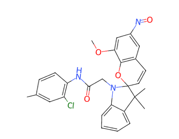 COc1cc(N=O)cc2c1OC1(C=C2)N(CC(=O)Nc2ccc(C)cc2Cl)c2ccccc2C1(C)C